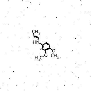 CC=CNc1ccc(OC)c(OC)c1